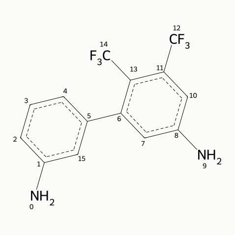 Nc1cccc(-c2cc(N)cc(C(F)(F)F)c2C(F)(F)F)c1